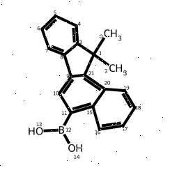 CC1(C)c2ccccc2-c2cc(B(O)O)c3ccccc3c21